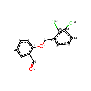 O=Cc1ccccc1OCc1cccc(Cl)c1Cl